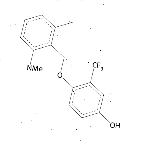 CNc1cccc(C)c1COc1ccc(O)cc1C(F)(F)F